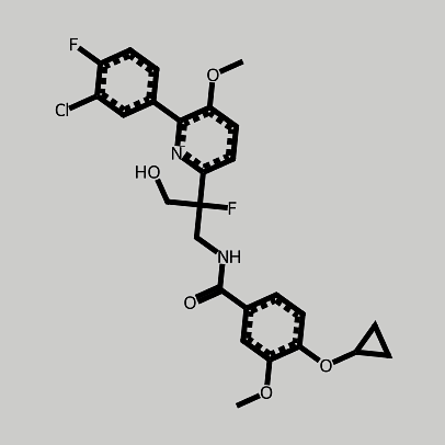 COc1cc(C(=O)NCC(F)(CO)c2ccc(OC)c(-c3ccc(F)c(Cl)c3)n2)ccc1OC1CC1